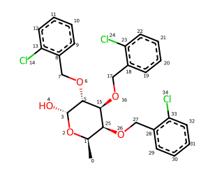 C[C@H]1O[C@H](O)[C@H](OCc2ccccc2Cl)[C@@H](OCc2ccccc2Cl)[C@H]1OCc1ccccc1Cl